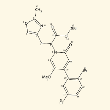 COc1cn(C(Cc2coc(C)n2)C(=O)OC(C)(C)C)c(=O)cc1-c1cc(Cl)ccc1C(C)C